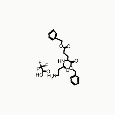 NCCC(=O)NC(CCC(=O)OCc1ccccc1)C(=O)OCc1ccccc1.O=C(O)C(F)(F)F